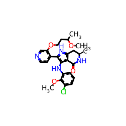 COc1c(Cl)cccc1Nc1c(-c2ccncc2OCCC(C)OC)[nH]c2c1C(=O)N[C@H](C)C2